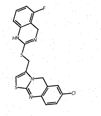 Fc1cccc2c1CN=C(SCC1=CSC3=Nc4ccc(Cl)cc4CN13)N2